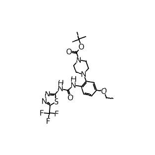 CCOc1ccc(NC(=O)Nc2nnc(C(F)(F)F)s2)c(N2CCN(C(=O)OC(C)(C)C)CC2)c1